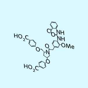 COc1cc(CC(=O)N2C[C@@H](Oc3ccc(C(=O)O)cc3)C[C@H]2COc2ccc(C(=O)O)cc2)ccc1NC(=O)Nc1ccccc1Cl